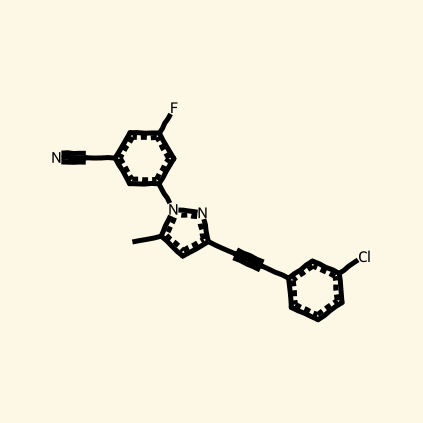 Cc1cc(C#Cc2cccc(Cl)c2)nn1-c1cc(F)cc(C#N)c1